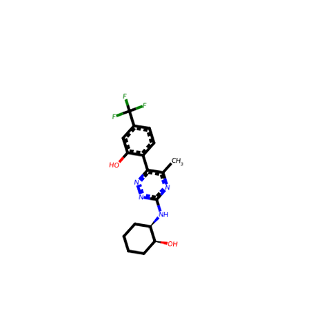 Cc1nc(N[C@@H]2CCCC[C@@H]2O)nnc1-c1ccc(C(F)(F)F)cc1O